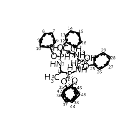 CC1N[PH](Oc2ccccc2)(Oc2ccccc2)C(C)(C)N[PH](O)(Oc2ccccc2)N[PH]1(Oc1ccccc1)Oc1ccccc1